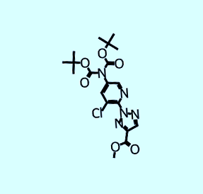 COC(=O)c1cnn(-c2ncc(N(C(=O)OC(C)(C)C)C(=O)OC(C)(C)C)cc2Cl)n1